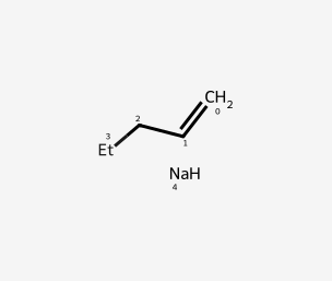 C=CCCC.[NaH]